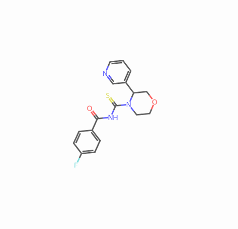 O=C(NC(=S)N1CCOCC1c1cccnc1)c1ccc(F)cc1